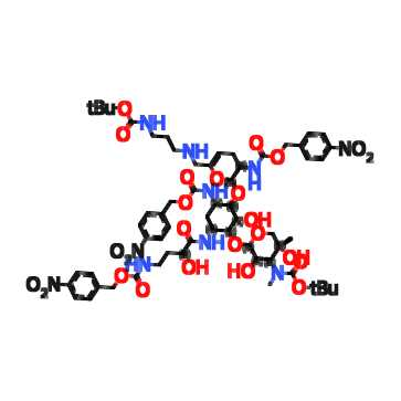 CN(C(=O)OC(C)(C)C)[C@@H]1[C@@H](O)[C@@H](O[C@@H]2[C@@H](O)[C@H](O[C@H]3OC(CNCCCNC(=O)OC(C)(C)C)=CC[C@H]3NC(=O)OCc3ccc([N+](=O)[O-])cc3)[C@@H](NC(=O)OCc3ccc([N+](=O)[O-])cc3)C[C@H]2NC(=O)[C@H](O)CCNC(=O)OCc2ccc([N+](=O)[O-])cc2)OC[C@]1(C)O